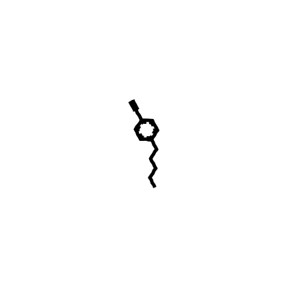 C#Cc1ccc(CCCCC)cc1